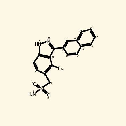 NS(=O)(=O)Cc1ccc2[nH]nc(-c3ccc4ccccc4c3)c2c1F